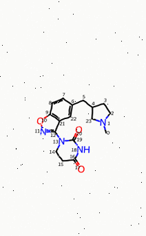 CN1CCC(Cc2ccc3onc(N4CCC(=O)NC4=O)c3c2)C1